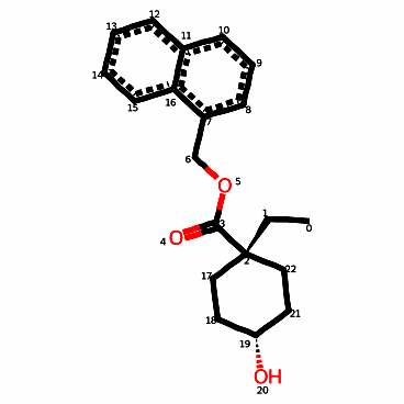 CC[C@]1(C(=O)OCc2cccc3ccccc23)CC[C@@H](O)CC1